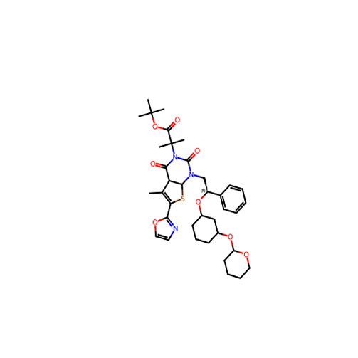 CC1=C(c2ncco2)SC2C1C(=O)N(C(C)(C)C(=O)OC(C)(C)C)C(=O)N2C[C@H](OC1CCCC(OC2CCCCO2)C1)c1ccccc1